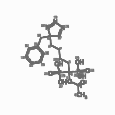 CC(=O)OC(CCCCC1(Cc2ccccc2)C=NN=N1)(P(=O)(O)O)P(=O)(O)O